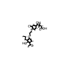 CCCc1c(OCCCSc2ccc(C(O)C(C)(C)CC(=O)O)cc2Cl)ccc(C(C)=O)c1O